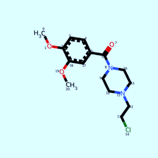 COc1ccc(C(=O)N2CCN(CCCl)CC2)cc1OC